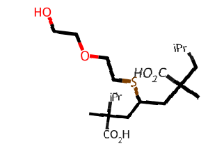 CC(C)CC(C)(CC(CC(C)(C(=O)O)C(C)C)SCCOCCO)C(=O)O